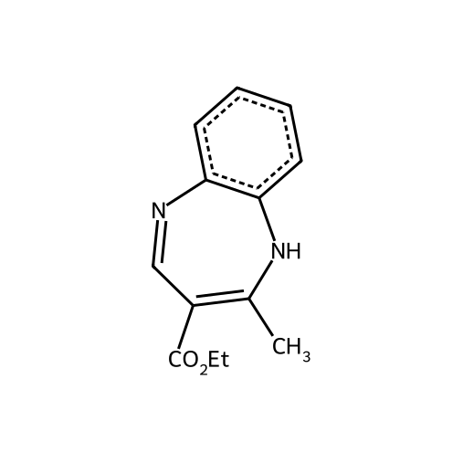 CCOC(=O)C1=C(C)Nc2ccccc2N=C1